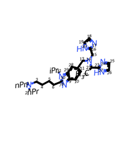 CCCN(CCC)CCCCc1nc2ccc(CN(Cc3ncc[nH]3)C(C)c3ncc[nH]3)cc2n1C(C)C